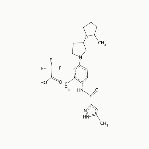 Cc1cc(C(=O)Nc2ccc(N3CCC(N4CCCC4C)C3)cc2C)n[nH]1.O=C(O)C(F)(F)F